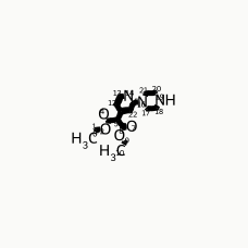 CCOC(=O)C(C(=O)OCC)c1ccnc(N2CCNCC2)c1